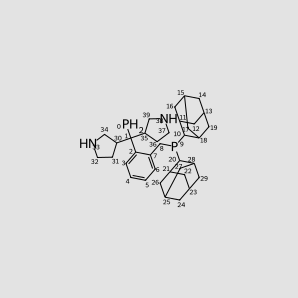 PC(c1ccccc1CP(C1C2CC3CC(C2)CC1C3)C1C2CC3CC(C2)CC1C3)(C1CCNC1)C1CCNC1